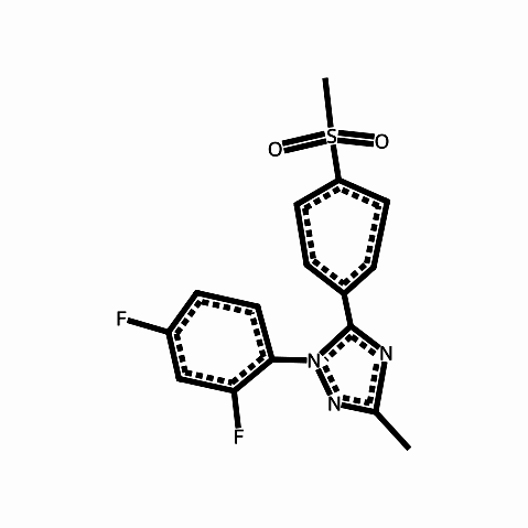 Cc1nc(-c2ccc(S(C)(=O)=O)cc2)n(-c2ccc(F)cc2F)n1